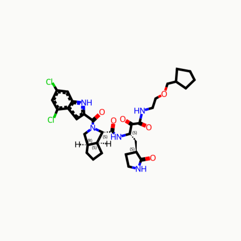 O=C(NCCOCC1CCCC1)C(=O)[C@H](C[C@@H]1CCNC1=O)NC(=O)[C@@H]1[C@H]2CCC[C@H]2CN1C(=O)c1cc2c(Cl)cc(Cl)cc2[nH]1